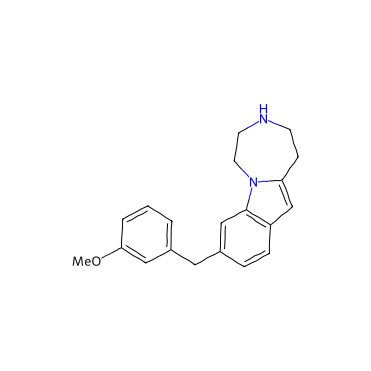 COc1cccc(Cc2ccc3cc4n(c3c2)CCNCC4)c1